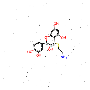 NCCS[C@H]1c2c(O)cc(O)cc2O[C@H](c2ccc(O)c(O)c2)[C@@H]1O